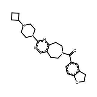 O=C(c1ccc2c(c1)CCO2)N1CCc2cnc(N3CCN(C4CCC4)CC3)nc2CC1